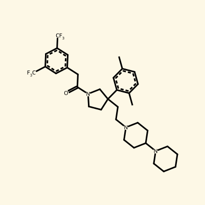 Cc1ccc(C)c(C2(CCN3CCC(N4CCCCC4)CC3)CCN(C(=O)Cc3cc(C(F)(F)F)cc(C(F)(F)F)c3)C2)c1